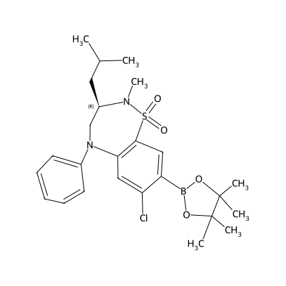 CC(C)C[C@@H]1CN(c2ccccc2)c2cc(Cl)c(B3OC(C)(C)C(C)(C)O3)cc2S(=O)(=O)N1C